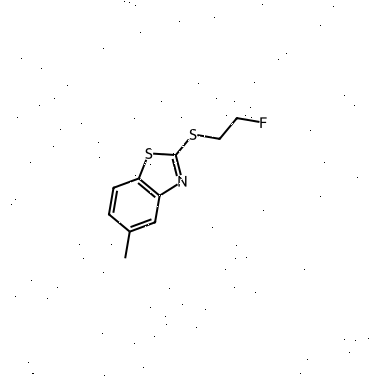 Cc1ccc2sc(SCCF)nc2c1